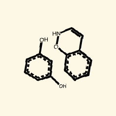 C1=Cc2ccccc2ON1.Oc1cccc(O)c1